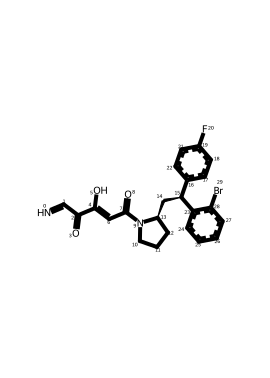 N=CC(=O)/C(O)=C/C(=O)N1CCC[C@@H]1C[C@@H](c1ccc(F)cc1)c1ccccc1Br